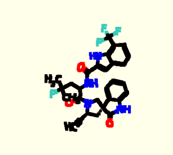 C#C[C@@H]1C[C@@]2(CN1C(=O)C(CC(C)(C)F)NC(=O)c1cc3cccc(C(F)(F)F)c3[nH]1)C(=O)Nc1ccccc12